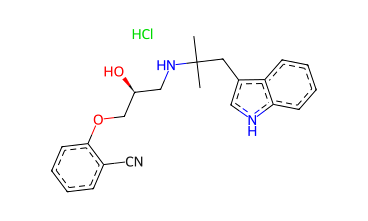 CC(C)(Cc1c[nH]c2ccccc12)NC[C@H](O)COc1ccccc1C#N.Cl